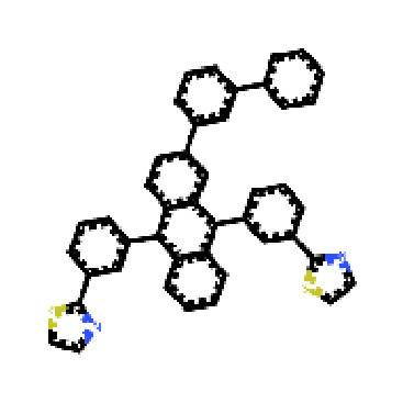 c1ccc(-c2cccc(-c3ccc4c(-c5cccc(-c6nccs6)c5)c5ccccc5c(-c5cccc(-c6nccs6)c5)c4c3)c2)cc1